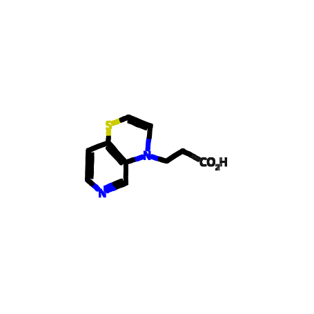 O=C(O)CCN1C=CSc2ccncc21